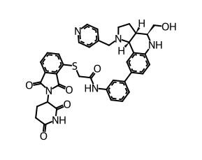 O=C1CCC(N2C(=O)c3cccc(SCC(=O)Nc4cccc(-c5ccc6c(c5)[C@H]5[C@H](CCN5Cc5ccncc5)[C@@H](CO)N6)c4)c3C2=O)C(=O)N1